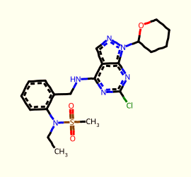 CCN(c1ccccc1CNc1nc(Cl)nc2c1cnn2C1CCCCO1)S(C)(=O)=O